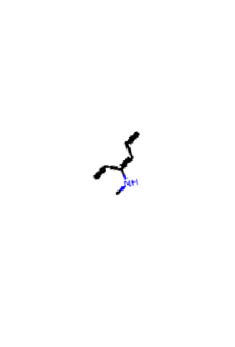 C=C/C=C(\C=C)NC